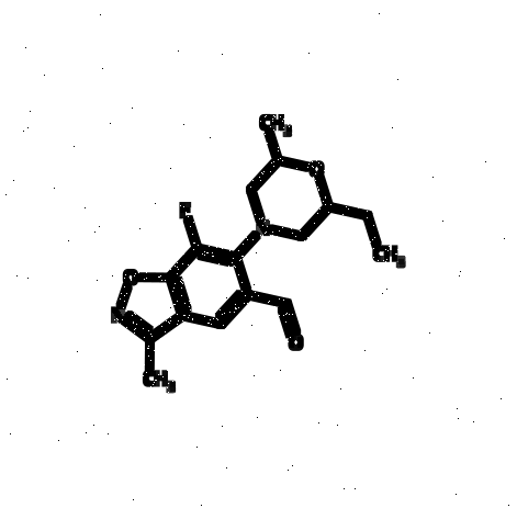 CCC1CN(c2c(C=O)cc3c(C)noc3c2F)CC(C)O1